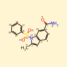 Cc1cc2ccc(C(N)=O)cc2n1S(=O)(=O)c1ccccc1